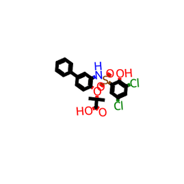 CC(C)(Oc1ccc(-c2ccccc2)cc1NS(=O)(=O)c1cc(Cl)cc(Cl)c1O)C(=O)O